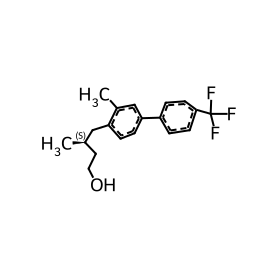 Cc1cc(-c2ccc(C(F)(F)F)cc2)ccc1C[C@H](C)CCO